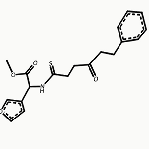 COC(=O)C(NC(=S)CCC(=O)CCc1ccccc1)c1ccoc1